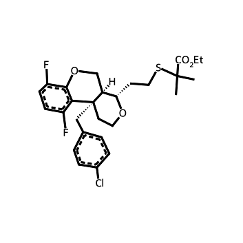 CCOC(=O)C(C)(C)SCC[C@@H]1OCC[C@@]2(Cc3ccc(Cl)cc3)c3c(F)ccc(F)c3OC[C@@H]12